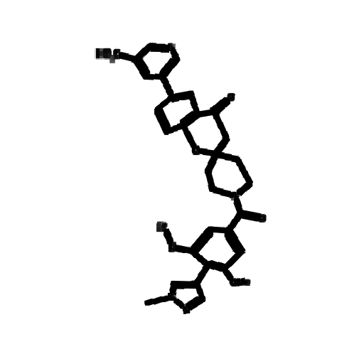 CCOc1cc(C(=O)N2CCC3(CC2)CC(=O)c2cc(-c4cncc(C(=O)O)c4)ccc2O3)cc(OC)c1-c1cnn(C)c1